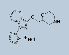 Cl.Fc1ccccc1-n1nc(OCC2CNCCO2)c2ccccc21